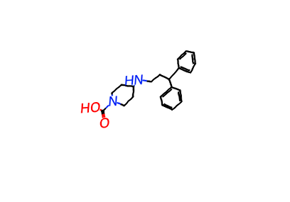 O=C(O)N1CCC(NCCC(c2ccccc2)c2ccccc2)CC1